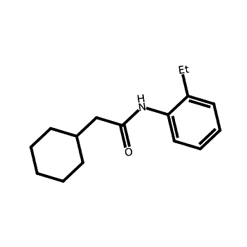 [CH2]Cc1ccccc1NC(=O)CC1CCCCC1